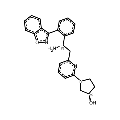 N[C@@H](Cc1cccc(N2CC[C@@H](O)C2)n1)c1ccccc1-c1noc2ccccc12